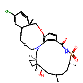 C[C@@H]1CC[C@@H](C)S(=O)(=O)NC(=O)c2ccc3c(c2)N(CCCCC2C=C(Cl)C=CC2(C)CO3)C[C@@H]2CC[C@H]2[C@H](O)C1